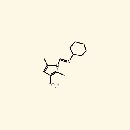 Cc1cc(C(=O)O)c(C)n1C=NC1CCCCC1